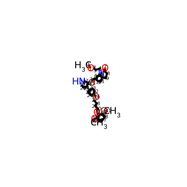 COCCCN1C(=O)CCc2ccc(CO[C@H]3CNCC[C@@H]3c3ccc(OCCCCOc4c(OC)cccc4OC)cc3)cc21